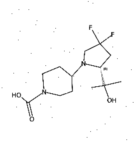 CC(C)(O)[C@H]1CC(F)(F)CN1C1CCN(C(=O)O)CC1